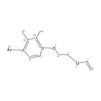 C=COCCOc1ccc(C(C)=O)c(C)c1C